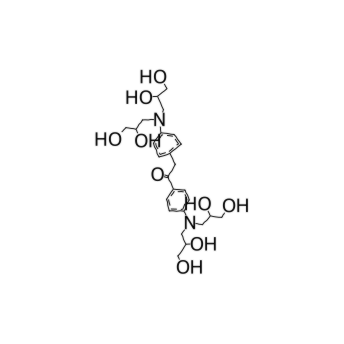 O=C(Cc1ccc(N(CC(O)CO)CC(O)CO)cc1)c1ccc(N(CC(O)CO)CC(O)CO)cc1